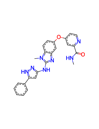 CNC(=O)c1cc(Oc2ccc3c(c2)nc(Nc2cc(-c4ccccc4)[nH]n2)n3C)ccn1